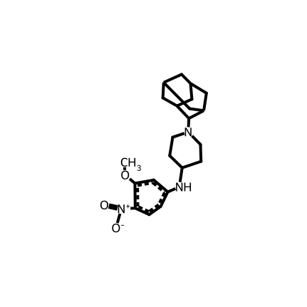 COc1cc(NC2CCN(C3C4CC5CC(C4)CC3C5)CC2)ccc1[N+](=O)[O-]